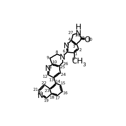 Cc1cc2c(nc1N1CCc3ncc(-c4cccc5cnccc45)cc3C1)CNC2=O